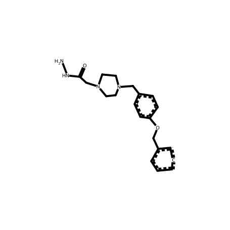 NNC(=O)CN1CCN(Cc2ccc(OCc3ccccc3)cc2)CC1